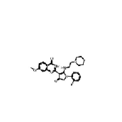 COc1ccc2c(=O)[nH]c(C3=C(NCCN4CCCCC4)N(c4ccccc4F)CC3=O)nc2c1